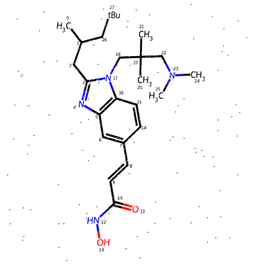 CC(Cc1nc2cc(C=CC(=O)NO)ccc2n1CC(C)(C)CN(C)C)CC(C)(C)C